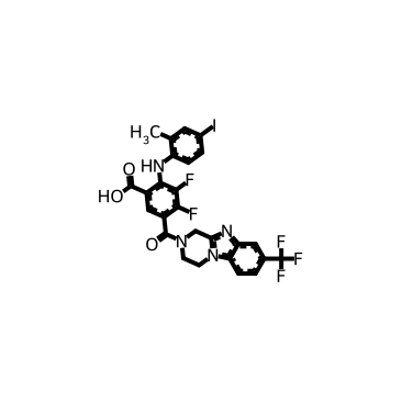 Cc1cc(I)ccc1Nc1c(C(=O)O)cc(C(=O)N2CCn3c(nc4cc(C(F)(F)F)ccc43)C2)c(F)c1F